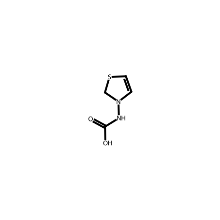 O=C(O)NN1C=CSC1